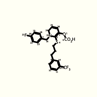 O=C(O)OC1=C(SCCCc2cccc(C(F)(F)F)c2)N(Cc2ccc(F)cc2)CC=C1